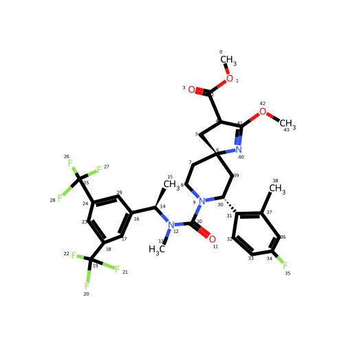 COC(=O)C1C[C@@]2(CCN(C(=O)N(C)[C@H](C)c3cc(C(F)(F)F)cc(C(F)(F)F)c3)[C@@H](c3ccc(F)cc3C)C2)N=C1OC